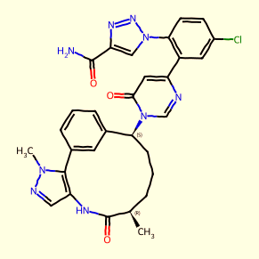 C[C@@H]1CCC[C@H](n2cnc(-c3cc(Cl)ccc3-n3cc(C(N)=O)nn3)cc2=O)c2cccc(c2)-c2c(cnn2C)NC1=O